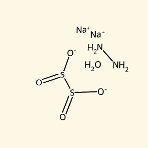 NN.O.O=S([O-])S(=O)[O-].[Na+].[Na+]